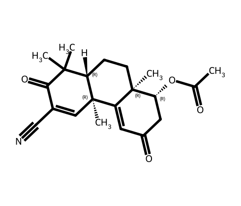 CC(=O)O[C@@H]1CC(=O)C=C2[C@@]3(C)C=C(C#N)C(=O)C(C)(C)[C@@H]3CC[C@]21C